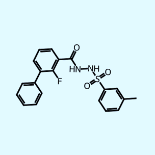 Cc1cccc(S(=O)(=O)NNC(=O)c2cccc(-c3ccccc3)c2F)c1